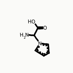 NC(C(=O)O)n1cccc1